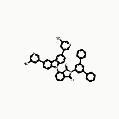 N#Cc1cncc(-c2ccc3c(c2)c2cc(-c4cncc(C#N)c4)ccc2n3-c2cccc3c2C(=O)N(c2cc(-c4ccccc4)cc(-c4ccccc4)c2)C3=O)c1